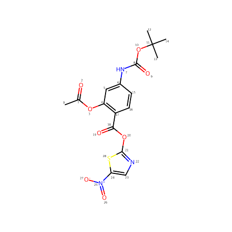 CC(=O)Oc1cc(NC(=O)OC(C)(C)C)ccc1C(=O)Oc1ncc([N+](=O)[O-])s1